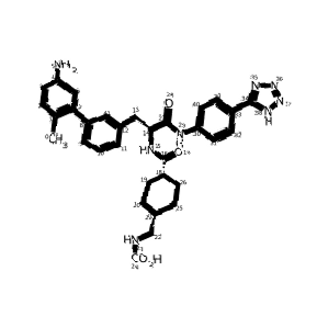 Cc1ccc(N)cc1-c1cccc(C[C@H](NC(=O)[C@H]2CC[C@H](CNC(=O)O)CC2)C(=O)Nc2ccc(-c3nnn[nH]3)cc2)c1